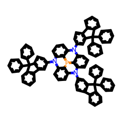 c1ccc(C2(c3ccccc3)c3ccccc3-c3cc(N4c5cccc6c5P5c7c4cccc7N(c4ccc7c(c4)C(c4ccccc4)(c4ccccc4)c4ccccc4-7)c4cccc(c45)N6c4ccc5c(c4)C(c4ccccc4)(c4ccccc4)c4ccccc4-5)ccc32)cc1